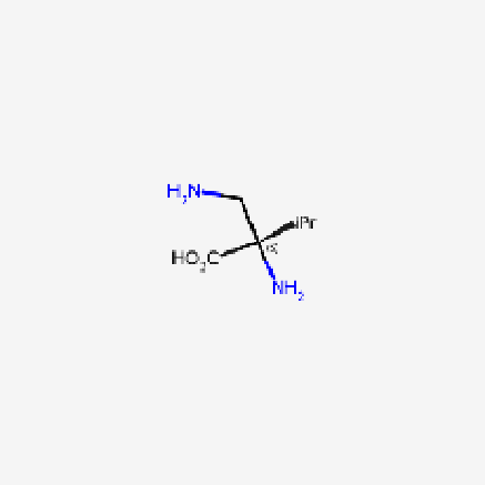 CC(C)[C@](N)(CN)C(=O)O